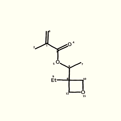 C=C(C)C(=O)OC(C)C1(CC)COC1